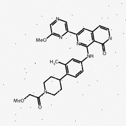 COCC(=O)N1CCC(c2ccc(Nc3nc(-c4cncc(OC)n4)cc4c3C(=O)[N]C=C4)cc2C)CC1